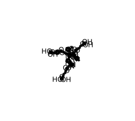 COc1ccccc1Oc1c(OCCOC(=O)c2ccc(CON(O)O)cc2)nc(-c2ccnc(-c3nnnn3COC(=O)OCCCCON(O)O)c2)nc1N(COC(=O)OCCCCON(O)O)S(=O)(=O)c1ccc(C)cn1